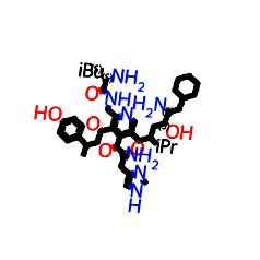 CC[C@H](C)[C@H](N)C(=O)NCc1ncc(C(=O)C(C[C@H](O)[C@@H](N)CC2CCCCC2)C(C)C)c(C(=O)[C@@H](N)Cc2c[nH]cn2)c1C(=O)CC(C)c1ccc(O)cc1